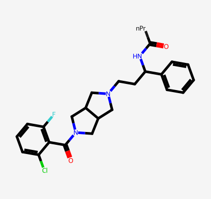 CCCC(=O)NC(CCN1CC2CN(C(=O)c3c(F)cccc3Cl)CC2C1)c1ccccc1